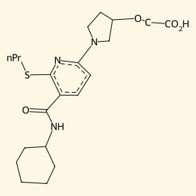 CCCSc1nc(N2CCC(OCC(=O)O)C2)ccc1C(=O)NC1CCCCC1